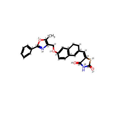 Cc1oc(-c2ccccc2)nc1COc1ccc2c(c1)CCC(C=C1SC(=O)NC1=O)=C2